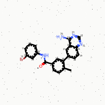 Cc1ccc(C(=O)Nc2cccc(Br)c2)cc1-c1ccc2ncnc(N)c2c1